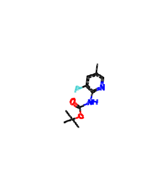 Cc1cnc(NC(=O)OC(C)(C)C)c(F)c1